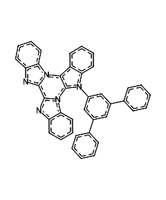 c1ccc(-c2cc(-c3ccccc3)cc(-n3c4ccccc4c4c3n3c5ccccc5nc3c3nc5ccccc5n34)c2)cc1